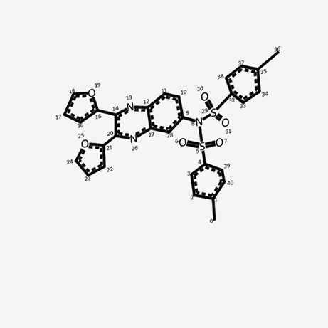 Cc1ccc(S(=O)(=O)N(c2ccc3nc(-c4ccco4)c(-c4ccco4)nc3c2)S(=O)(=O)c2ccc(C)cc2)cc1